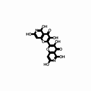 O=c1c(O)c(-c2oc3cc(O)nc(O)c3c(=O)c2O)oc2cc(O)nc(O)c12